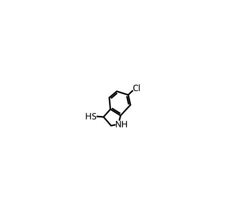 SC1CNc2cc(Cl)ccc21